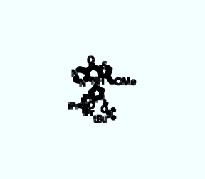 COCc1csc(C(=O)c2cncnc2N[C@@H]2C[C@H](CO[Si](C)(C)C(C)(C)C)[C@@H](O[Si](C(C)C)(C(C)C)C(C)C)C2)c1